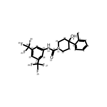 Cc1ccccc1C1(O)CCN(C(=O)Nc2cc(C(F)(F)F)cc(C(F)(F)F)c2)CC1